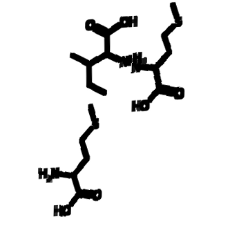 CCC(C)C(N)C(=O)O.CSCCC(N)C(=O)O.CSCCC(N)C(=O)O